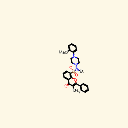 CCN(N1CCN(c2ccccc2OC)CC1)S(=O)(=O)c1cccc2c(=O)c(C)c(-c3ccccc3)oc12